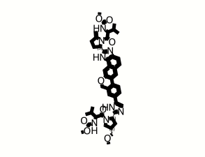 C=C1CC[C@@H](c2nc3ccc4cc5c(cc4c3[nH]2)OCc2cc(-c3cnc([C@@H]4C[C@H](COC)CN4C(=O)C(NC(=O)OC)C(C)C)[nH]3)ccc2-5)N1C(=O)C(NC(=O)OC)C(C)C